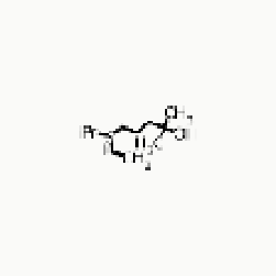 C=C[SH](CCCC(C)(C)O)C(C)C